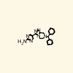 Nc1ncc(-c2nnc3n2CCN(C(c2ccccc2)c2ccccc2)C3)cn1